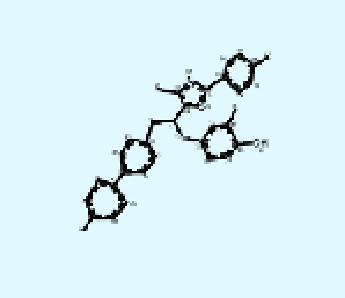 Cc1ccc(-c2ccc(CC(Sc3ccc(O)c(C)c3)c3sc(-c4ccc(C)cc4)nc3C)cc2)cc1